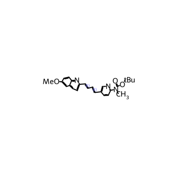 COc1ccc2nc(/C=C/C=C/c3ccc(N(C)C(=O)OC(C)(C)C)nc3)ccc2c1